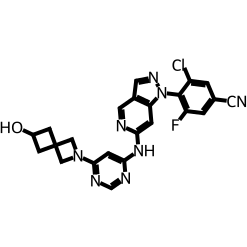 N#Cc1cc(F)c(-n2ncc3cnc(Nc4cc(N5CC6(CC(O)C6)C5)ncn4)cc32)c(Cl)c1